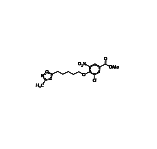 COC(=O)c1cc(Cl)c(OCCCCCc2cc(C)no2)c([N+](=O)[O-])c1